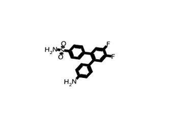 Nc1ccc(-c2cc(F)c(F)cc2-c2ccc(S(N)(=O)=O)cc2)cc1